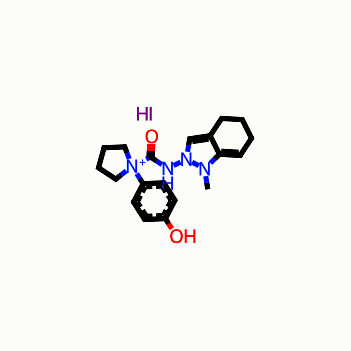 CN1C2=CCCCC2=CN1NC(=O)[N+]1(c2ccc(O)cc2)CCCC1.I